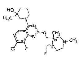 CN1CC[C@H](CF)[C@](C)(COc2nc(N3CCCC(C)(O)C3)c3cnc(Cl)c(F)c3n2)C1